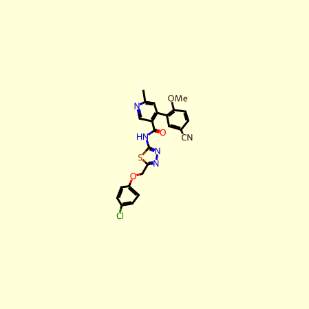 COc1ccc(C#N)cc1-c1cc(C)ncc1C(=O)Nc1nnc(COc2ccc(Cl)cc2)s1